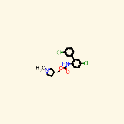 CN1CC[C@@H](COC(=O)Nc2ccc(Cl)cc2-c2cccc(Cl)c2)C1